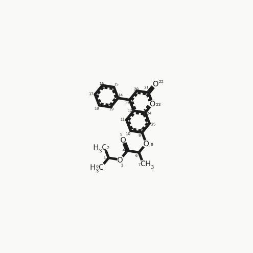 CC(C)OC(=O)C(C)Oc1ccc2c(-c3ccccc3)cc(=O)oc2c1